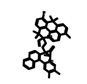 C=CC1(CCC23C(=C)C2(C)[n+]2cc(C)c(C)cc2-c2c3ccc3ccccc23)[n+]2ccc3c(C)ccc4c3c2-c2c(ccc(F)c2C4(C)C)C1(C)C